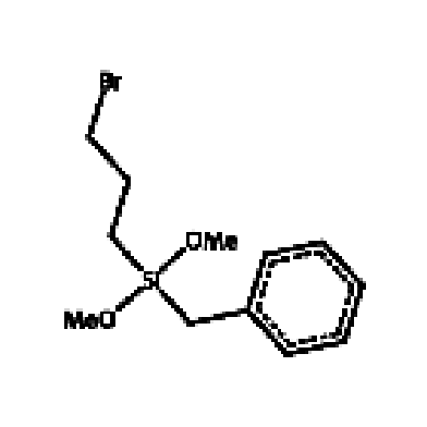 CO[Si](CCCBr)(Cc1ccccc1)OC